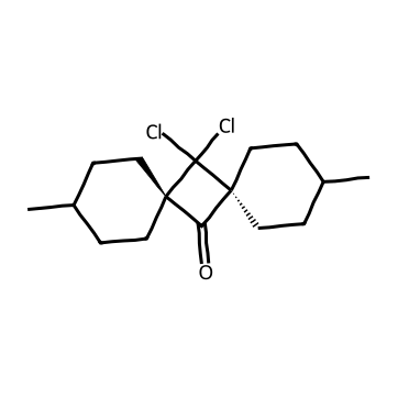 CC1CC[C@]2(CC1)C(=O)[C@@]1(CCC(C)CC1)C2(Cl)Cl